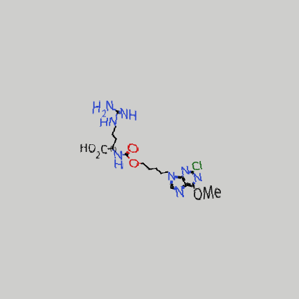 COc1nc(Cl)nc2c1ncn2CCCCCOC(=O)N[C@H](CCCNC(=N)N)C(=O)O